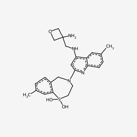 Cc1ccc2c(c1)S(O)(O)CCN(c1cc(NCC3(N)COC3)c3cc(C)ccc3n1)C2